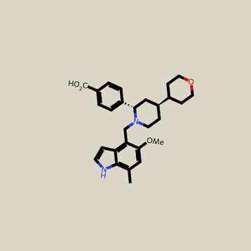 COc1cc(C)c2[nH]ccc2c1CN1CC[C@H](C2CCOCC2)C[C@H]1c1ccc(C(=O)O)cc1